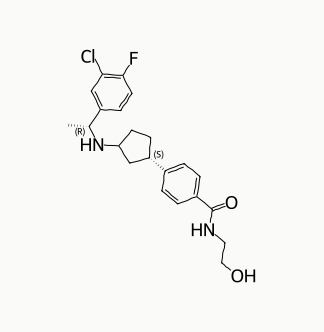 C[C@@H](NC1CC[C@H](c2ccc(C(=O)NCCO)cc2)C1)c1ccc(F)c(Cl)c1